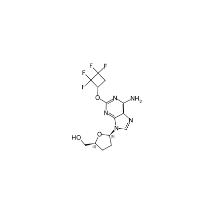 Nc1nc(OC2CC(F)(F)C2(F)F)nc2c1ncn2[C@H]1CC[C@@H](CO)O1